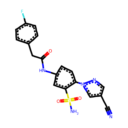 N#Cc1cnn(-c2ccc(NC(=O)Cc3ccc(F)cc3)cc2S(N)(=O)=O)c1